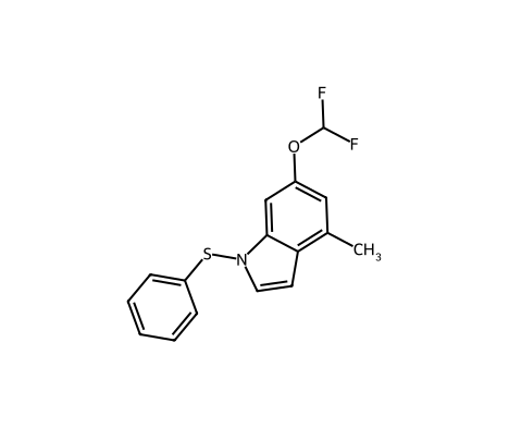 Cc1cc(OC(F)F)cc2c1ccn2Sc1ccccc1